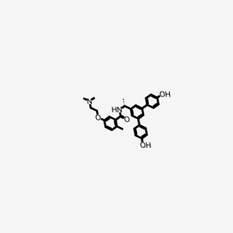 Cc1ccc(OCCN(C)C)cc1C(=O)N[C@H](C)c1cc(-c2ccc(O)cc2)cc(-c2ccc(O)cc2)c1